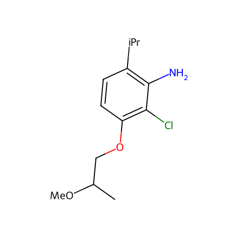 COC(C)COc1ccc(C(C)C)c(N)c1Cl